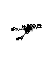 CCC/C=C\C=C/C/C=C\CCCCCCCC(=O)OCC(COC(=O)CCCCCCC/C=C\C/C=C\C=C/CCC)OC(=O)C1C[C@@H]2CCCC[C@@H]2N1C(=O)[C@H](C)N[C@@H](CCc1ccccc1)C(=O)OCC